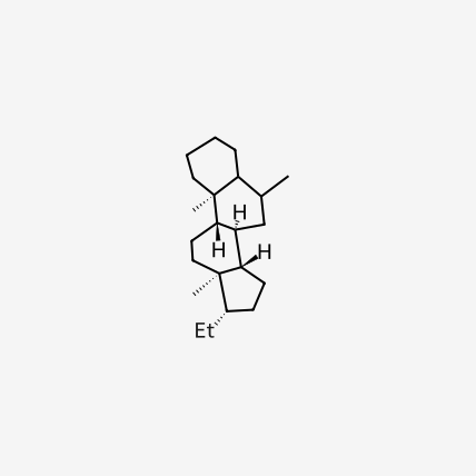 CC[C@H]1CC[C@H]2[C@@H]3CC(C)C4CCCC[C@]4(C)[C@H]3CC[C@]12C